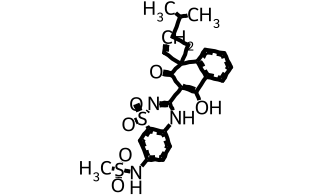 C=CC1(CCC(C)C)C(=O)C(C2=NS(=O)(=O)c3cc(NS(C)(=O)=O)ccc3N2)=C(O)c2ccccc21